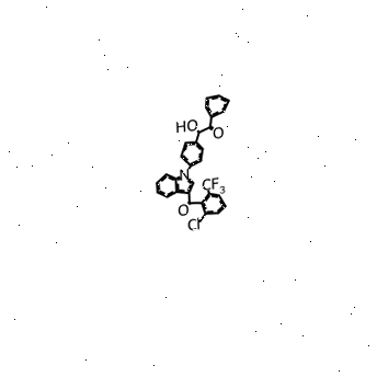 O=C(c1c(Cl)cccc1C(F)(F)F)c1cn(-c2ccc(C(O)C(=O)c3ccccc3)cc2)c2ccccc12